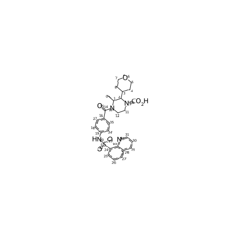 CC1C(C2CCOCC2)N(C(=O)O)CCN1C(=O)c1ccc(NS(=O)(=O)c2cccc3cccnc23)cc1